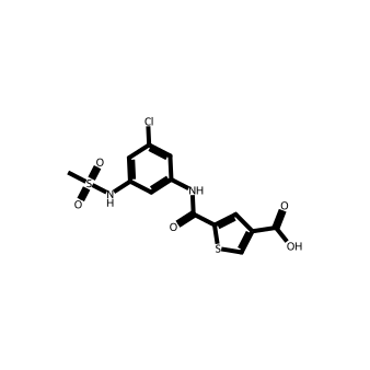 CS(=O)(=O)Nc1cc(Cl)cc(NC(=O)c2cc(C(=O)O)cs2)c1